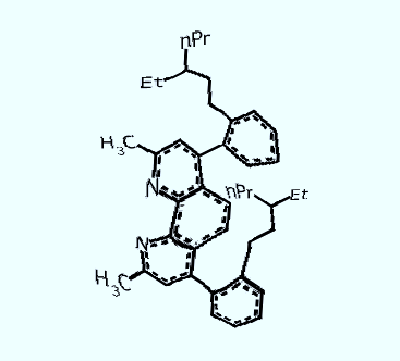 CCCC(CC)CCc1ccccc1-c1cc(C)nc2c1ccc1c(-c3ccccc3CCC(CC)CCC)cc(C)nc12